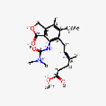 COc1c(C)c2c(c(NC(=O)N(C)C)c1C/C=C(\C)CCC(=O)OC(C)C)C(=O)OC2